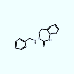 O=C1Nc2ccccc2CC[C@H]1NCc1ccccc1